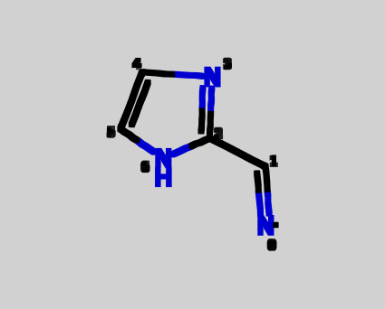 [N]=Cc1ncc[nH]1